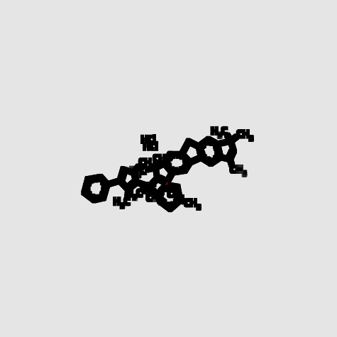 Cl.Cl.[CH2]=[Zr]([CH3])([C]1=C(C)C(c2ccccc2)=CC1C)([C]1=C(C)c2cc3c(cc2C1(C)C)Cc1cc2c(cc1-3)C(C)=CC2(C)C)[c]1ccc(C)cc1